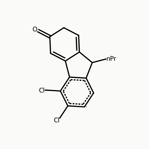 CCCC1C2=CCC(=O)C=C2c2c1c[c]c(Cl)c2Cl